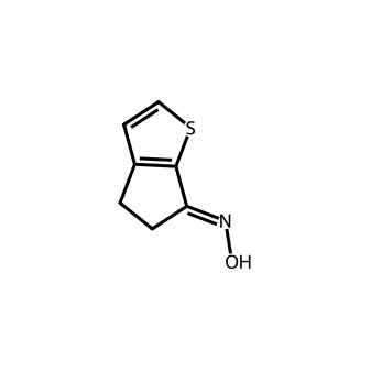 O/N=C1\CCc2ccsc21